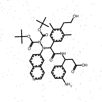 Cc1cc(C(C(=O)NC(CC(=O)O)c2cccc(N)c2)N(c2ccc3cnccc3c2)N(C(=O)OC(C)(C)C)C(=O)OC(C)(C)C)cc(C)c1CCO